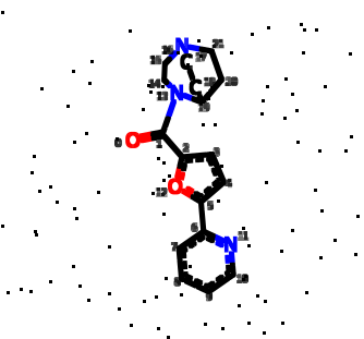 O=C(c1ccc(-c2ccccn2)o1)N1CCN2CCC1CC2